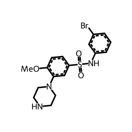 COc1ccc(S(=O)(=O)Nc2cccc(Br)c2)cc1N1CCNCC1